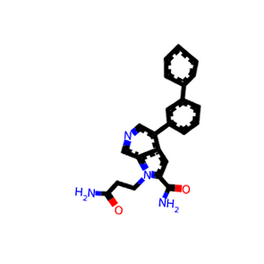 NC(=O)CCn1c(C(N)=O)cc2c(-c3cccc(-c4ccccc4)c3)cncc21